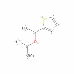 COC(C)OC(C)c1cccs1